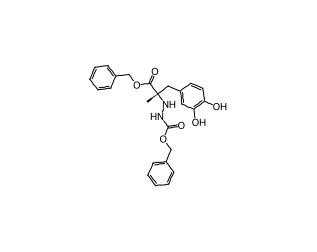 C[C@@](Cc1ccc(O)c(O)c1)(NNC(=O)OCc1ccccc1)C(=O)OCc1ccccc1